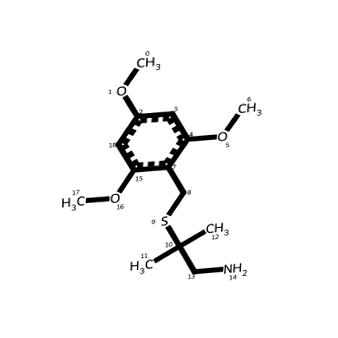 COc1cc(OC)c(CSC(C)(C)CN)c(OC)c1